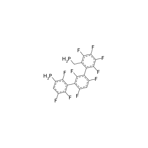 Fc1cc(P)c(F)c(-c2c(F)cc(F)c(-c3c(F)c(F)c(F)c(F)c3CP)c2F)c1F